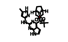 Cc1cc(Nc2nc(N[C@@H]3C[C@H]4CC[C@@H](C3)N4C(=O)OC(C)(C)C)c3cc[nH]c3n2)n[nH]1